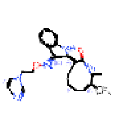 C=C1NC(=O)/C(=C2\Nc3ccccc3\C2=N/OCCN(C=N)/C=C\C)C/C=C\C=C/1C(F)(F)F